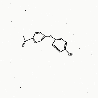 CC(=O)c1ccc(Oc2ccc(O)cc2)cc1